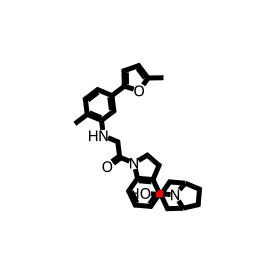 Cc1ccc(-c2ccc(C)c(NCC(=O)N3CCc4c3cccc4N3C4CCC3CC(O)C4)c2)o1